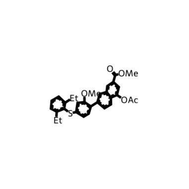 CCc1cccc(CC)c1Sc1ccc(-c2ccc3c(OC(C)=O)cc(C(=O)OC)cc3c2)c(OC)c1